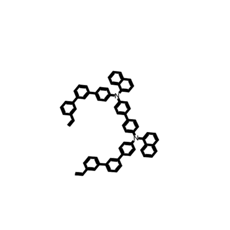 C=Cc1cccc(-c2cccc(-c3ccc(N(c4ccc(-c5ccc(N(c6ccc(-c7cccc(-c8cccc(C=C)c8)c7)cc6)c6cccc7ccccc67)cc5)cc4)c4cccc5ccccc45)cc3)c2)c1